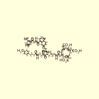 Cc1ccc(CCCC(=O)NCCNC(=O)C(CCCCNC(=O)CN2CCN(CC(=O)O)CCN(CC(=O)O)CCN(CC(=O)O)CC2)NC(=O)COc2ccc3nccc(C(=O)NCC(=O)N4CC(F)(F)CC4C#N)c3c2)cc1